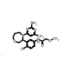 COCC(=O)Nc1ccc(Cl)c(C2COCCCN2c2cc(C)nc(N)n2)c1